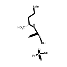 CC(C)S(N)(=O)=O.CSCC[C@H](NC(=O)OC(C)(C)C)C(=O)O